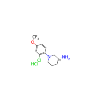 Cl.N[C@@H]1CCCN(c2ccc(OC(F)(F)F)cc2Cl)C1